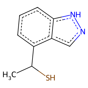 CC(S)c1cccc2[nH]ncc12